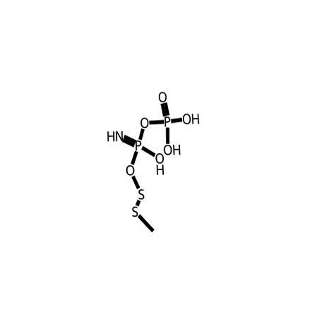 CSSOP(=N)(O)OP(=O)(O)O